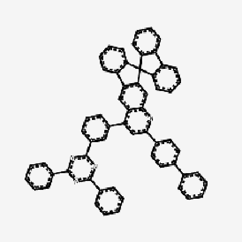 c1ccc(-c2ccc(-c3cc(-c4cccc(-c5nc(-c6ccccc6)nc(-c6ccccc6)n5)c4)c4cc5c(cc4n3)C3(c4ccccc4-c4ccccc43)c3ccccc3-5)cc2)cc1